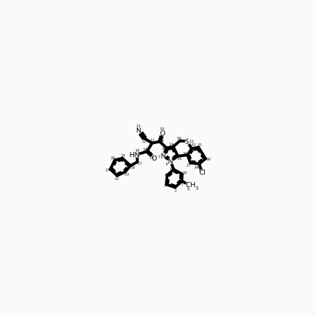 Cc1cccc(-n2nc(C(=O)C(C#N)C(=O)NCc3ccccc3)c3c2-c2cc(Cl)ccc2SC3)c1